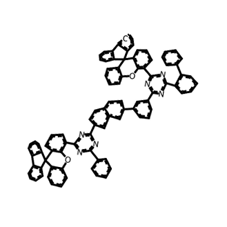 c1ccc(-c2nc(-c3ccc4ccc(-c5cccc(-c6nc(-c7ccccc7-c7ccccc7)nc(-c7cccc8c7Oc7ccccc7C87c8ccccc8-c8ccccc87)n6)c5)cc4c3)nc(-c3cccc4c3Oc3ccccc3C43c4ccccc4-c4ccccc43)n2)cc1